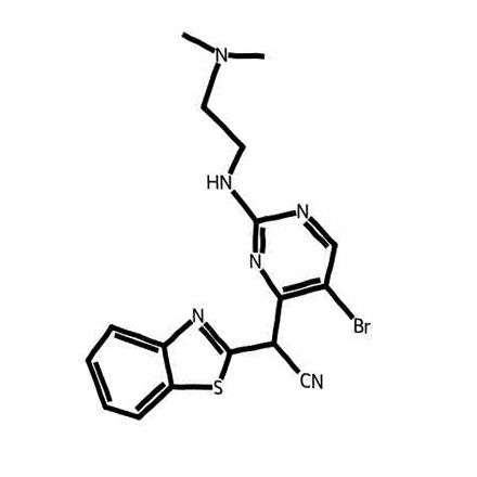 CN(C)CCNc1ncc(Br)c(C(C#N)c2nc3ccccc3s2)n1